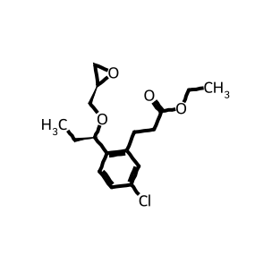 CCOC(=O)CCc1cc(Cl)ccc1[C@@H](CC)OC[C@H]1CO1